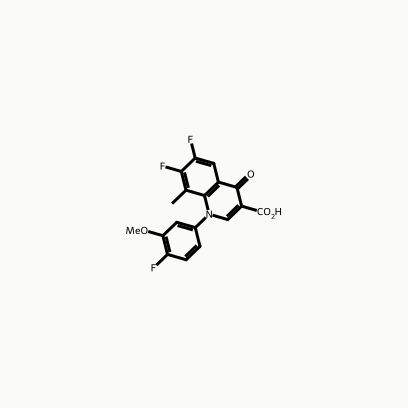 COc1cc(-n2cc(C(=O)O)c(=O)c3cc(F)c(F)c(C)c32)ccc1F